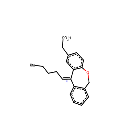 CCC(C)CCC/C=C1/c2ccccc2COc2ccc(CC(=O)O)cc21